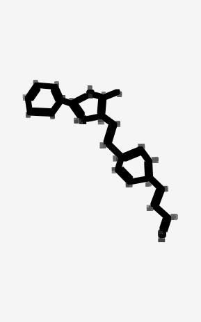 Cc1oc(-c2ccccc2)nc1C=Cc1ccc(C=CC=O)cc1